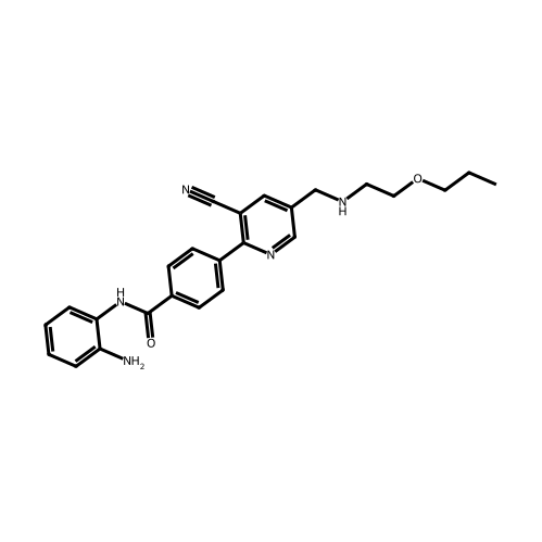 CCCOCCNCc1cnc(-c2ccc(C(=O)Nc3ccccc3N)cc2)c(C#N)c1